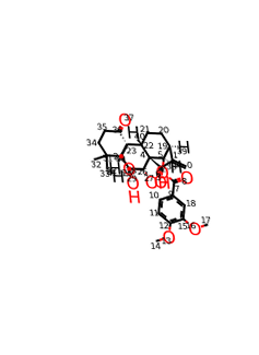 C=C1C(=O)[C@]23[C@H](OC(=O)c4ccc(OC)c(OC)c4)[C@H]1CC[C@H]2[C@@]12CO[C@@]3(O)[C@@H](O)[C@@H]1C(C)(C)CCC2=O